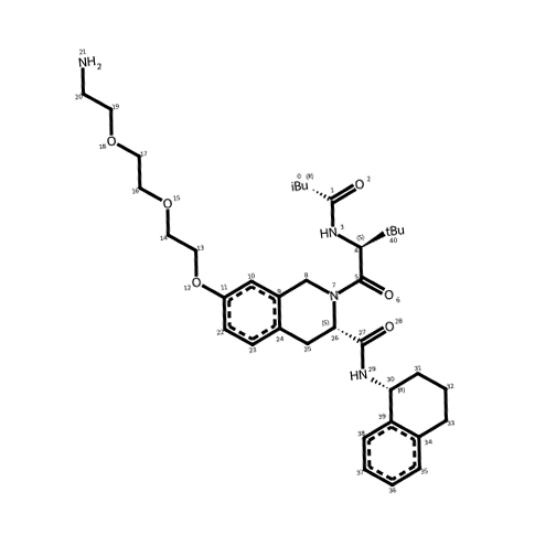 CC[C@@H](C)C(=O)N[C@H](C(=O)N1Cc2cc(OCCOCCOCCN)ccc2C[C@H]1C(=O)N[C@@H]1CCCc2ccccc21)C(C)(C)C